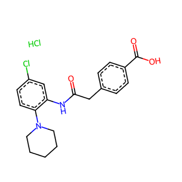 Cl.O=C(Cc1ccc(C(=O)O)cc1)Nc1cc(Cl)ccc1N1CCCCC1